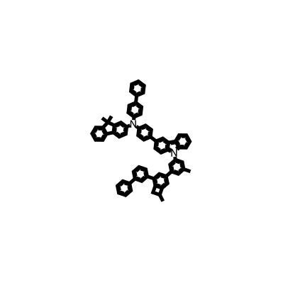 Cc1cc(-c2cc(-c3cccc(-c4ccccc4)c3)c3c(c2)C(C)C3)cc(-n2c3ccccc3c3cc(-c4ccc(N(c5ccc(-c6ccccc6)cc5)c5ccc6c(c5)C(C)(C)c5ccccc5-6)cc4)ccc32)c1